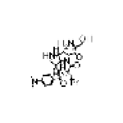 CC(C)C[C@H](NC(=O)c1ccc(N(C)C)cc1)C(=O)N1C(C(=O)[C@@H](N)CO)C[C@H]2NCC(=O)[C@H]21